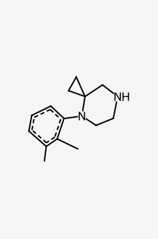 Cc1cccc(N2CCNCC23CC3)c1C